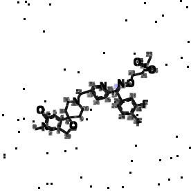 Cn1cc2c(cc1=O)C1(CCN(Cc3ccc(/C(=N/OCCS(C)(=O)=O)c4ccc(F)c(F)c4)nc3)CC1)OC2